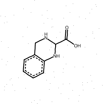 O=C(O)C1NCc2ccccc2N1